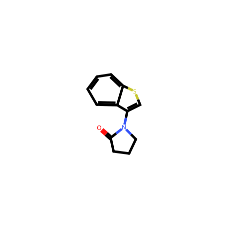 O=C1CCCN1c1csc2ccccc12